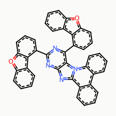 c1ccc2c(c1)oc1cccc(-c3nc(-c4cccc5oc6ccccc6c45)c4c(n3)nc3c5ccccc5c5ccccc5n34)c12